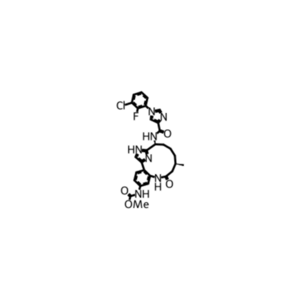 COC(=O)Nc1ccc2c(c1)NC(=O)C[C@H](C)CCC[C@H](NC(=O)c1cn(-c3cccc(Cl)c3F)cn1)c1nc-2c[nH]1